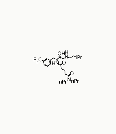 CCCN(CCC)C(=O)CCCC(=O)N[C@@H](Cc1cccc(C(F)(F)F)c1)[C@H](O)CNCCC(C)C